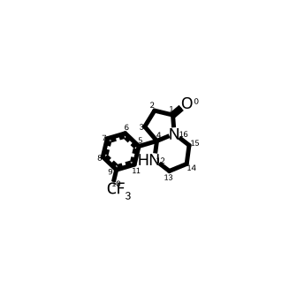 O=C1CCC2(c3cccc(C(F)(F)F)c3)NCCCN12